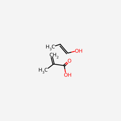 C=C(C)C(=O)O.CC=CO